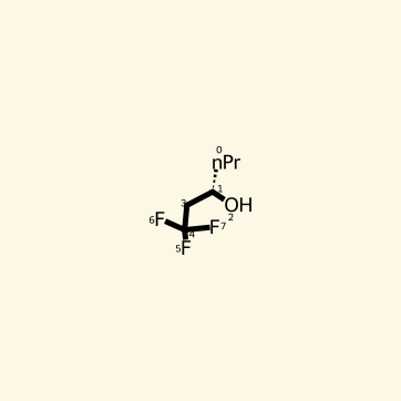 CCC[C@H](O)CC(F)(F)F